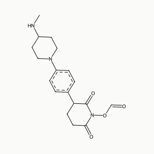 CNC1CCN(c2ccc(C3CCC(=O)N(OC=O)C3=O)cc2)CC1